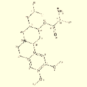 COc1cc2c(cc1OC)C1CC(OC(=O)[C@@H](C)N)C(CC(C)C)CN1CC2